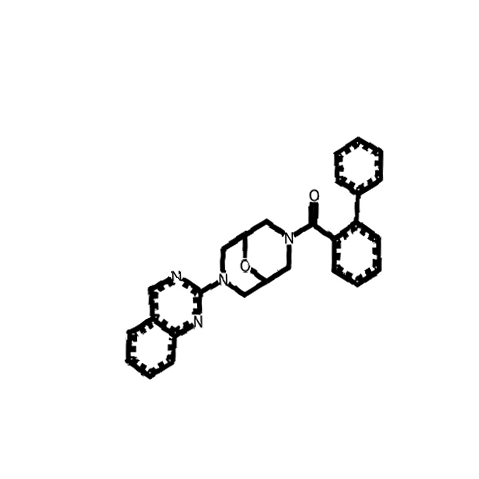 O=C(c1ccccc1-c1ccccc1)N1CC2CN(c3ncc4ccccc4n3)CC(C1)O2